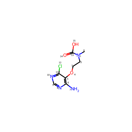 CN(CCOc1c(N)ncnc1Cl)C(=O)O